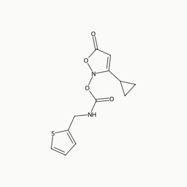 O=C(NCc1cccs1)On1oc(=O)cc1C1CC1